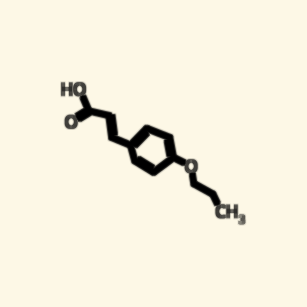 CCCOc1ccc(C=CC(=O)O)cc1